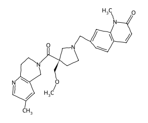 COC[C@]1(C(=O)N2CCc3ncc(C)cc3C2)CCN(Cc2ccc3ccc(=O)n(C)c3c2)C1